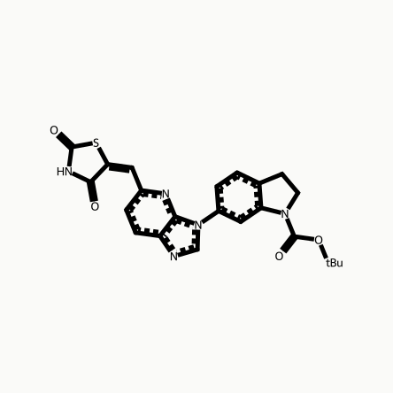 CC(C)(C)OC(=O)N1CCc2ccc(-n3cnc4ccc(/C=C5/SC(=O)NC5=O)nc43)cc21